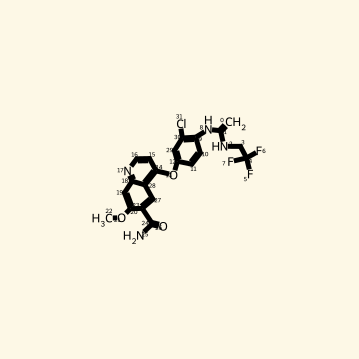 C=C(NCC(F)(F)F)Nc1ccc(Oc2ccnc3cc(OC)c(C(N)=O)cc23)cc1Cl